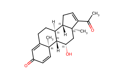 CC(=O)C1=CC[C@H]2[C@@H]3CCC4=CC(=O)C=C[C@]4(C)[C@H]3[C@@H](O)C[C@]12C